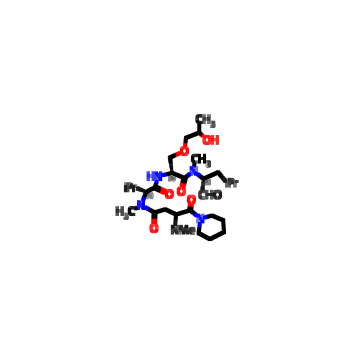 CNC(CC(=O)N(C)[C@H](C(=O)N[C@@H](COCC(C)O)C(=O)N(C)[C@H](C=O)CC(C)C)C(C)C)C(=O)N1CCCCC1